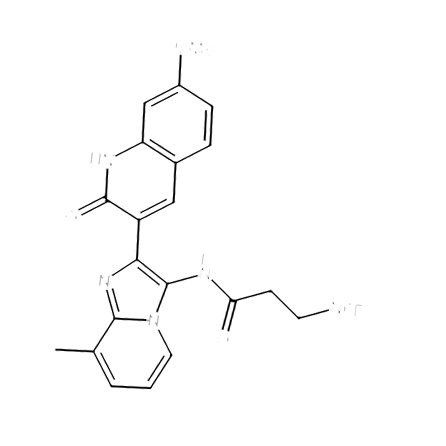 COc1ccc2cc(-c3nc4c(C)cccn4c3NC(=O)CCNC(F)(F)F)c(=O)[nH]c2c1